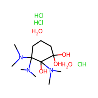 CN(C)C1(N(C)C)CCCC(O)(O)C1(O)N(C)C.Cl.Cl.Cl.O.O